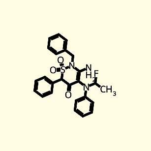 CC(F)N(C1=C(N)N(Cc2ccccc2)S(=O)(=O)C(c2ccccc2)C1=O)c1ccccc1